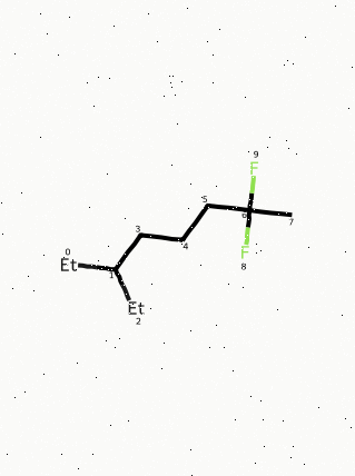 CCC(CC)CCCC(C)(F)F